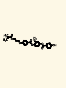 C=C(C)C(=O)OCCCOc1ccc(C(=O)Oc2ccc(OC(=O)c3ccc(O)cc3)cc2C)cc1